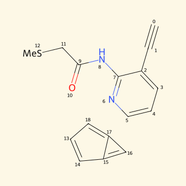 C#Cc1cccnc1NC(=O)CSC.c1cc2cc-2c1